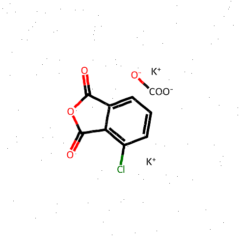 O=C([O-])[O-].O=C1OC(=O)c2c(Cl)cccc21.[K+].[K+]